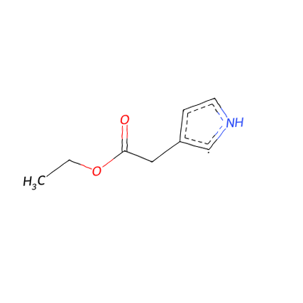 CCOC(=O)Cc1[c][nH]cc1